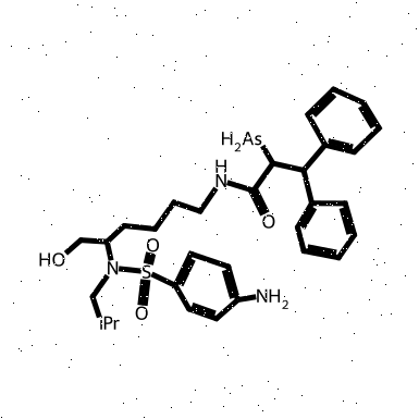 CC(C)CN(C(CO)CCCCNC(=O)C([AsH2])C(c1ccccc1)c1ccccc1)S(=O)(=O)c1ccc(N)cc1